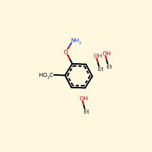 CCO.CCO.CCO.NOc1ccccc1C(=O)O